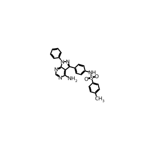 Cc1ccc(S(=O)(=O)Nc2ccc(-c3nn(-c4ccccc4)c4ncnc(N)c34)cc2)cc1